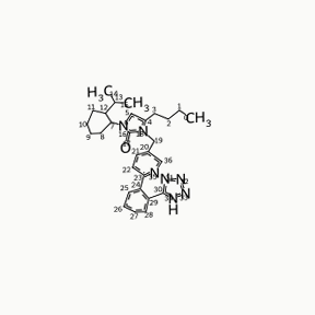 CCCCc1cn(C2CCCCC2C(C)C)c(=O)n1Cc1ccc(-c2ccccc2-c2nnn[nH]2)nc1